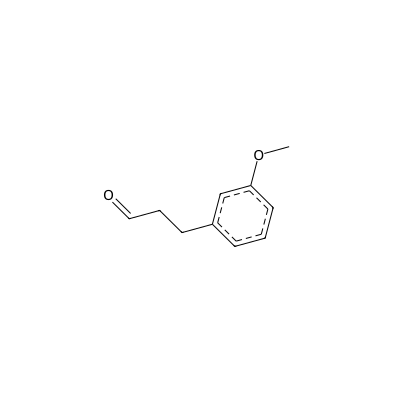 COc1cccc(CCC=O)c1